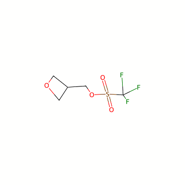 O=S(=O)(OCC1COC1)C(F)(F)F